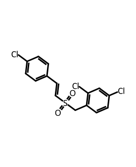 O=S(=O)(C=Cc1ccc(Cl)cc1)Cc1ccc(Cl)cc1Cl